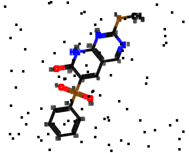 CSc1ncc2cc(S(=O)(=O)c3ccccc3)c(=O)[nH]c2n1